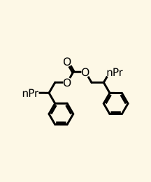 CCCC(COC(=O)OCC(CCC)c1ccccc1)c1ccccc1